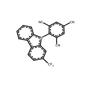 N#Cc1cc(C#N)c(-n2c3ccccc3c3ccc(C(F)(F)F)cc32)c(C#N)c1